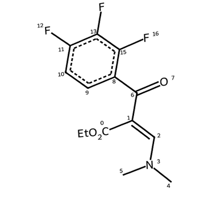 CCOC(=O)/C(=C\N(C)C)C(=O)c1ccc(F)c(F)c1F